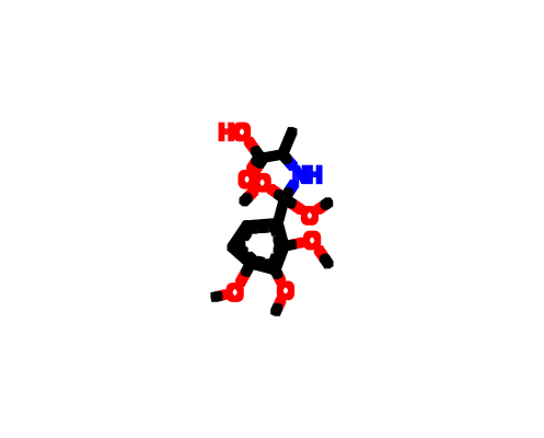 COc1ccc(C(NC(C)C(=O)O)(OC)OC)c(OC)c1OC